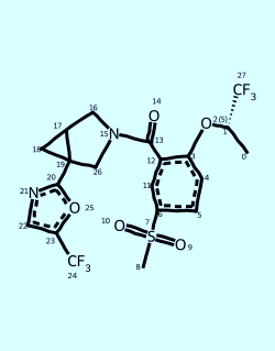 C[C@H](Oc1ccc(S(C)(=O)=O)cc1C(=O)N1CC2CC2(c2ncc(C(F)(F)F)o2)C1)C(F)(F)F